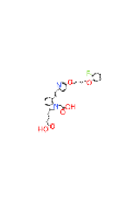 O=C(O)CCCc1cn(CC(=O)O)c2c(C=Cc3ccc(OCCCCOc4ccccc4F)cn3)cccc12